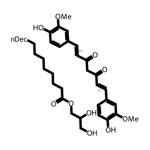 CCCCCCCCCCCCCCCCCC(=O)OCC(O)CO.COc1cc(/C=C/C(=O)CC(=O)/C=C/c2ccc(O)c(OC)c2)ccc1O